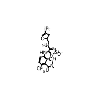 CC(C)C1=COC(CNc2n[s+]([O-])nc2Nc2ccc(C(F)(F)F)c(C(=O)N(C)C)c2O)C1